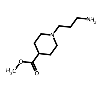 COC(=O)C1CCN(CCCN)CC1